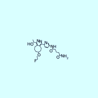 CC(O)c1nnc(-c2ccc(NC(=O)CCCC(N)=O)cn2)c2c1CCCC(OCCF)CC2